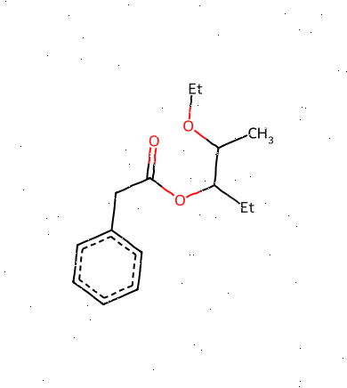 CCOC(C)C(CC)OC(=O)Cc1ccccc1